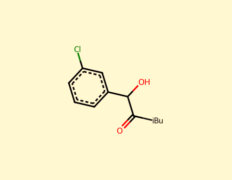 CCC(C)C(=O)C(O)c1cccc(Cl)c1